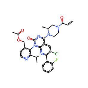 C=CC(=O)N1CCN(c2nc(=O)n(-c3c(COC(C)=O)ccnc3C(C)C)c3nc(-c4ccccc4F)c(Cl)cc23)[C@@H](C)C1